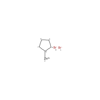 [Br-].[Br-].[Zn+2][CH]1CCCC1